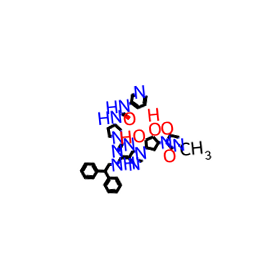 CN1CC(=O)N(C2CC(n3cnc4c(NCC(c5ccccc5)c5ccccc5)nc(N5CCC(NC(=O)Nc6cccnc6)C5)nc43)C(O)C2O)C1=O